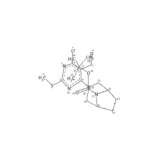 CSc1nc(Cl)c(C=O)c(N2CC3CCC(C2)N3C(=O)OC(C)(C)C)n1